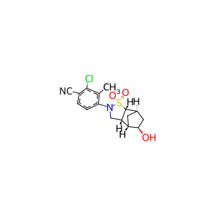 Cc1c(N2C[C@H]3[C@@H]4C[C@H](C[C@H]4O)[C@H]3S2(=O)=O)ccc(C#N)c1Cl